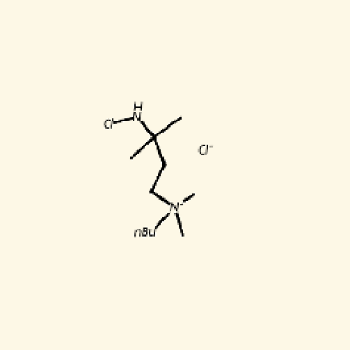 CCCC[N+](C)(C)CCC(C)(C)NCl.[Cl-]